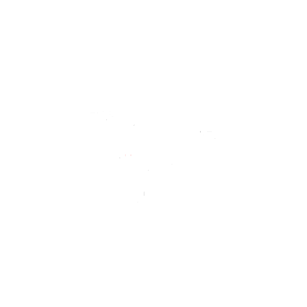 C=CCC(CC)OCC(=O)O